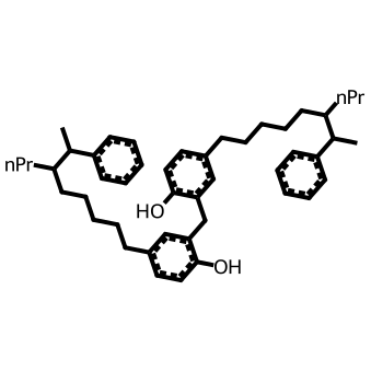 CCCC(CCCCCc1ccc(O)c(Cc2cc(CCCCCC(CCC)C(C)c3ccccc3)ccc2O)c1)C(C)c1ccccc1